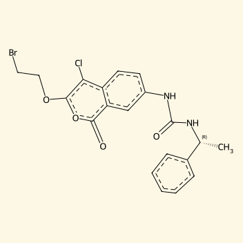 C[C@@H](NC(=O)Nc1ccc2c(Cl)c(OCCBr)oc(=O)c2c1)c1ccccc1